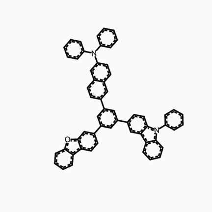 c1ccc(N(c2ccccc2)c2ccc3cc(-c4cc(-c5ccc6c(c5)oc5ccccc56)cc(-c5ccc6c(c5)c5ccccc5n6-c5ccccc5)c4)ccc3c2)cc1